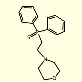 S=P(CCN1CCOCC1)(c1ccccc1)c1ccccc1